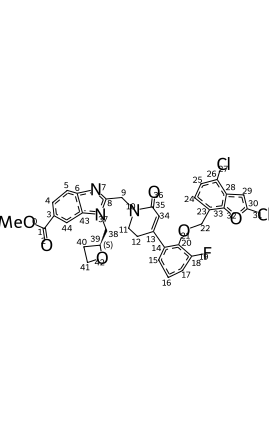 COC(=O)c1ccc2nc(CN3CCC(c4cccc(F)c4OCc4ccc(Cl)c5cc(Cl)oc45)=CC3=O)n(C[C@@H]3CCO3)c2c1